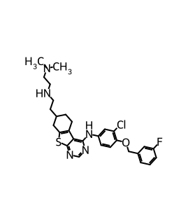 CN(C)CCNCCC1CCc2c(sc3ncnc(Nc4ccc(OCc5cccc(F)c5)c(Cl)c4)c23)C1